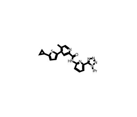 Cc1cnc(C(=O)Nc2cccc(-c3nnnn3C(C)C)n2)cc1-c1ccc(C2CC2)s1